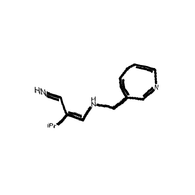 CC(C)/C(C=N)=C/NCc1cccnc1